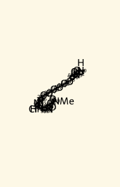 C=C1CCC(N2Cc3cc(OCCOCCOCCOCCOCCOC4CCN(c5ncc(Cl)c(Nc6ccc7c(c6)cc(OCC(=O)NC)c(=O)n7C)n5)CC4)ccc3C2=O)C(=O)N1